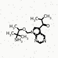 CC(C)C(=O)c1cn(COC(C)C(C)(C)[SiH3])c2ncncc12